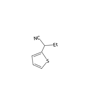 CCC(C#N)c1cccs1